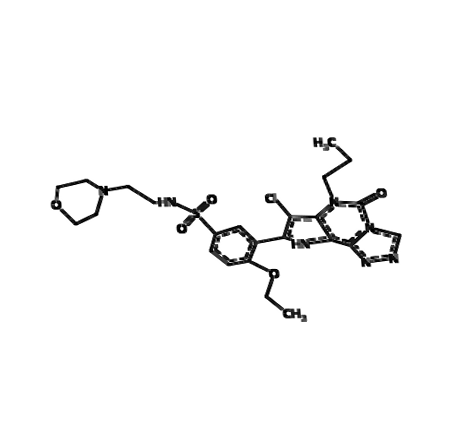 CCCn1c(=O)n2cnnc2c2[nH]c(-c3cc(S(=O)(=O)NCCN4CCOCC4)ccc3OCC)c(Cl)c21